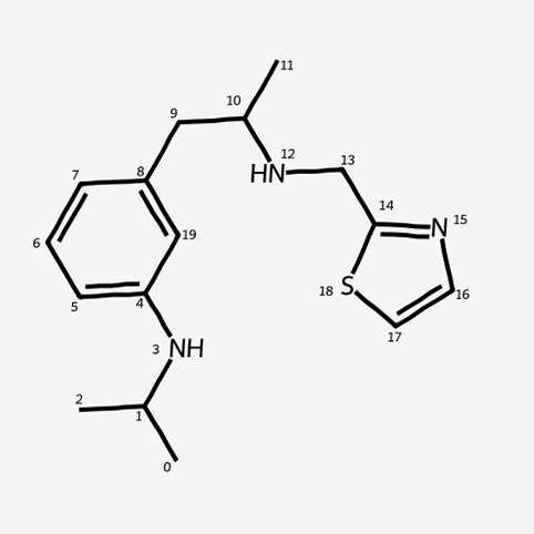 CC(C)Nc1cccc(CC(C)NCc2nccs2)c1